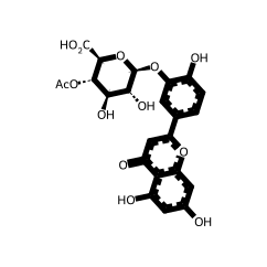 CC(=O)O[C@H]1[C@H](O)[C@@H](O)[C@H](Oc2cc(-c3cc(=O)c4c(O)cc(O)cc4o3)ccc2O)O[C@@H]1C(=O)O